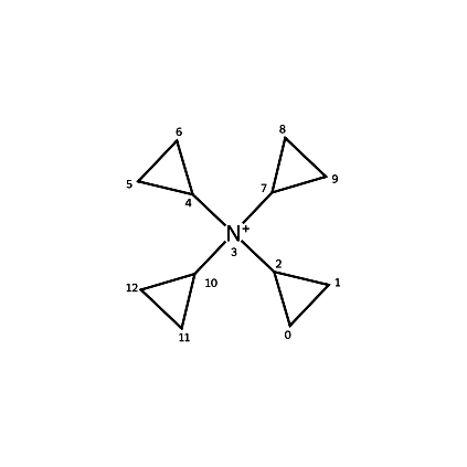 C1CC1[N+](C1CC1)(C1CC1)C1CC1